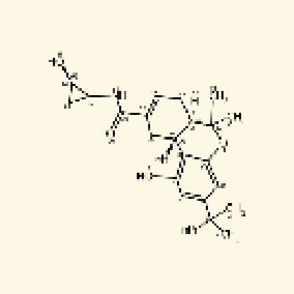 CCCC(C)(C)c1cc(O)c2c(c1)OC(C)(C)[C@@H]1CC=C(C(=O)NC3C[C@H]3O)C[C@@H]21